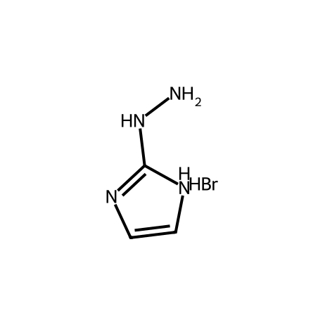 Br.NNc1ncc[nH]1